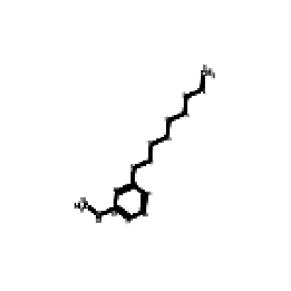 CCCCCCCCCc1cccc(OP)c1